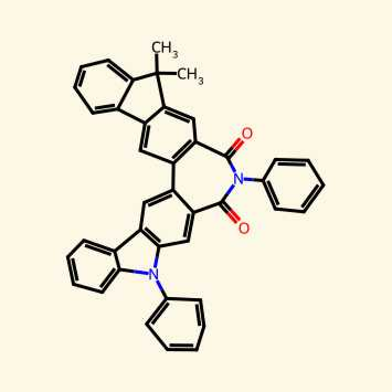 CC1(C)c2ccccc2-c2cc3c(cc21)c(=O)n(-c1ccccc1)c(=O)c1cc2c(cc13)c1ccccc1n2-c1ccccc1